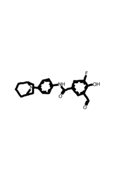 O=Cc1cc(C(=O)Nc2ccc(N3C4CCCC3CC4)cc2)cc(F)c1O